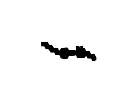 CCCCCCCc1ccc(C#Cc2ccc(CCCC)cn2)cc1